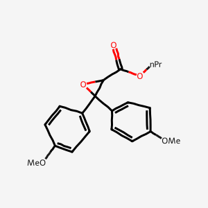 CCCOC(=O)C1OC1(c1ccc(OC)cc1)c1ccc(OC)cc1